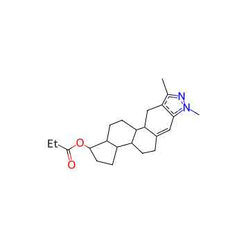 CCC(=O)OC1CCC2C1CCC1C3Cc4c(C)nn(C)c4C=C3CCC12